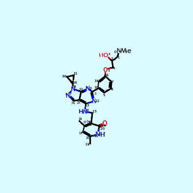 CNCC(O)COc1cccc(-c2nc(NCc3c(C)cc(C)[nH]c3=O)c3cnn(C4CC4)c3n2)c1